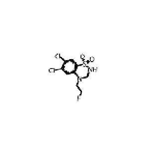 O=S1(=O)NCN(CCF)c2cc(Cl)c(Cl)cc21